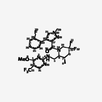 COc1nc(NCC2[C@H](C)CC(F)(F)CN2C(=O)c2nn(C)cc2-c2ccccc2F)ncc1C(F)(F)F